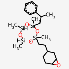 CC(C[Si]1(C)O[SiH](C)O[SiH](C)O[Si](C)(CCC2CCC3OC3C2)O1)c1ccccc1